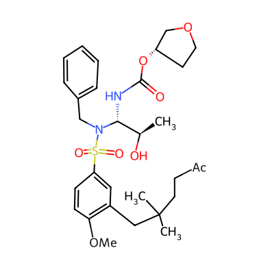 COc1ccc(S(=O)(=O)N(Cc2ccccc2)[C@H](NC(=O)O[C@H]2CCOC2)[C@@H](C)O)cc1CC(C)(C)CCC(C)=O